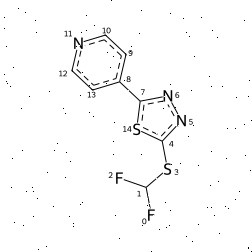 FC(F)Sc1nnc(-c2ccncc2)s1